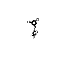 O=C(CC(F)(F)F)OCc1cc(Cl)cc(Cl)c1